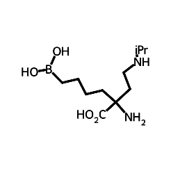 CC(C)NCCC(N)(CCCCB(O)O)C(=O)O